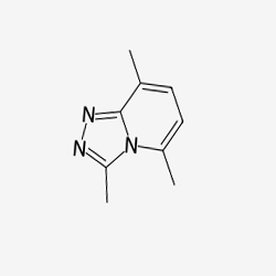 Cc1ccc(C)n2c(C)nnc12